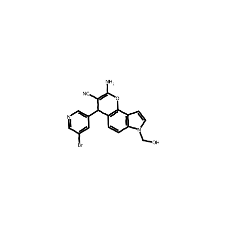 N#CC1=C(N)Oc2c(ccc3c2ccn3CO)C1c1cncc(Br)c1